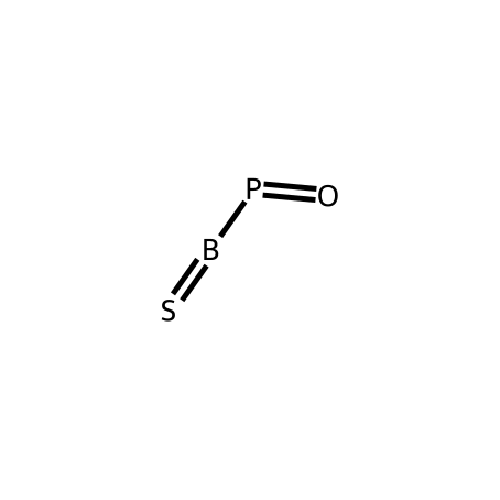 O=PB=S